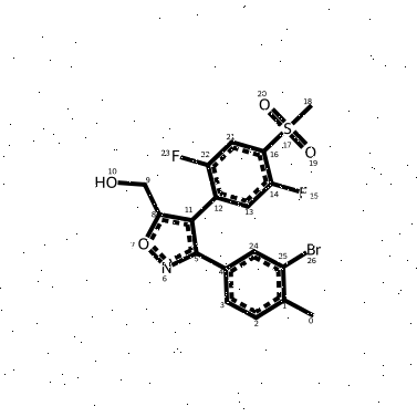 Cc1ccc(-c2noc(CO)c2-c2cc(F)c(S(C)(=O)=O)cc2F)cc1Br